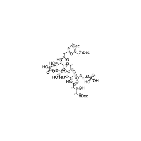 CCCCCCCCCCCC(=O)O[C@H](CCCCCCCCCCC)CC(=O)N[C@@H]1[C@H](OC[C@H]2O[C@H](OCCOP(=O)(O)O)[C@@H](NC(=O)C[C@H](O)CCCCCCCCCCC)[C@@H](O)[C@@H]2O)O[C@H](CO)[C@@H](OP(=O)(O)O)[C@@H]1O